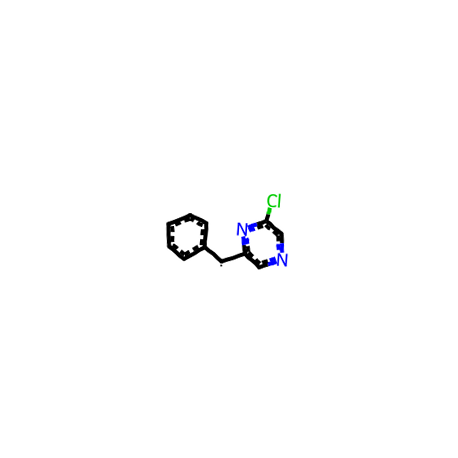 Clc1cncc([CH]c2ccccc2)n1